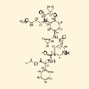 CCOC[C@@H](NC(=O)[C@@H]1CNC[C@H](C(=O)N(c2ccc3c(c2)N(CCCOC)C(=O)C(C)(C)O3)C2CC2)C1)c1ccccc1